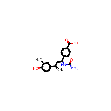 C=C(/C=C(\NC(N)=O)c1ccc(C(=O)O)cc1)c1ccc(O)c(C)c1